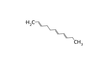 [CH2]C=CCCC=CC=CCC